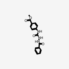 COC(=O)c1ccc(NC(=O)NNC(=O)c2ccccc2)cc1